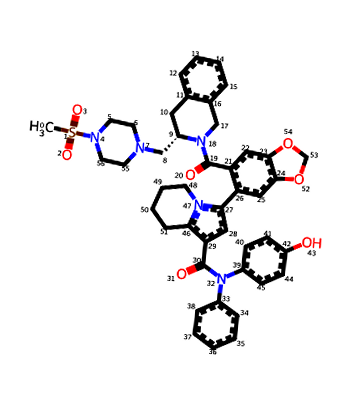 CS(=O)(=O)N1CCN(C[C@@H]2Cc3ccccc3CN2C(=O)c2cc3c(cc2-c2cc(C(=O)N(c4ccccc4)c4ccc(O)cc4)c4n2CCCC4)OCO3)CC1